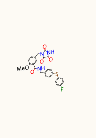 COc1ccc(CN2C(=O)NC(=O)C2=O)cc1C(=O)NCc1ccc(Sc2ccc(F)cc2)cc1